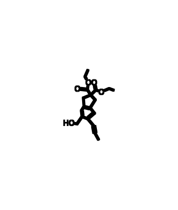 CC#Cc1cc2c(cc1CO)CC(C(=O)OCC)(C(=O)OCC)C2